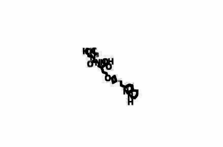 CCN(CC)C(=O)NCC(CCO[C@H]1C[C@H](CCc2ccc3c(n2)NCCC3)C1)C(=O)O